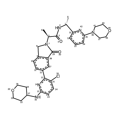 C[C@@H](NC(=O)[C@H](C)N1Cc2ccc(-c3nc(NC4CCOCC4)ncc3Cl)cc2C1=O)c1cccc(N2CCOCC2)n1